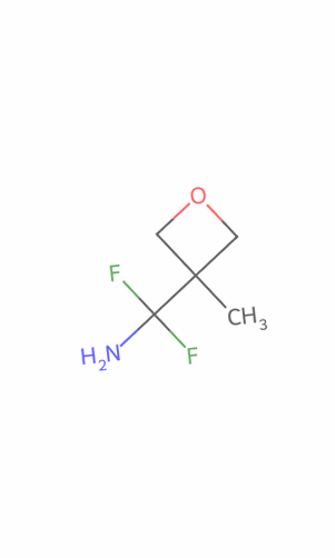 CC1(C(N)(F)F)COC1